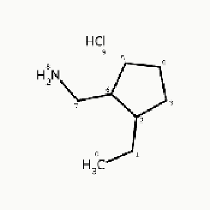 CCC1CCCC1CN.Cl